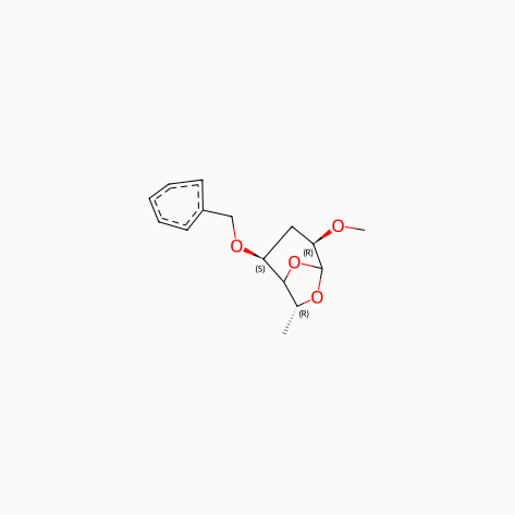 CO[C@@H]1C[C@H](OCc2ccccc2)C2OC1O[C@@H]2C